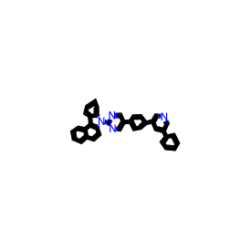 c1ccc(-c2cncc(-c3ccc(-c4cnc(-n5c6ccccc6c6c7ccccc7ccc65)nc4)cc3)c2)cc1